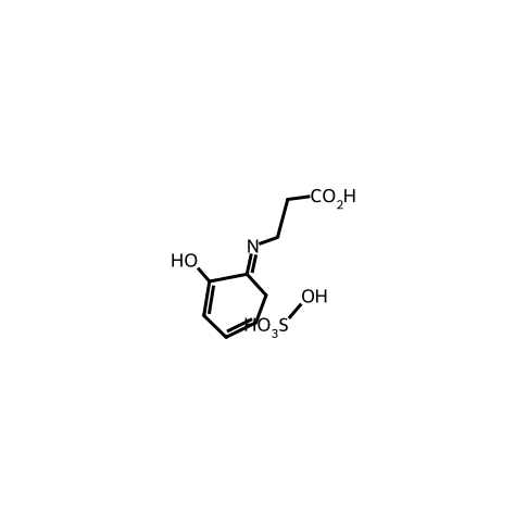 O=C(O)CCN=C1CC=CC=C1O.O=S(=O)(O)O